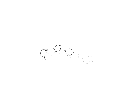 CN1CCC(COc2ccc(-c3cccc(Cn4n[c]ccc4=O)c3)nc2)CC1